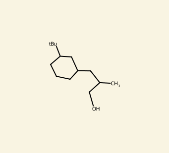 CC(CO)CC1CCCC(C(C)(C)C)C1